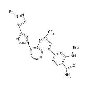 CCn1cc(-c2cn(-c3cccc4c(-c5ccc(C(N)=O)c(NC(C)(C)C)c5)cc(C(F)(F)F)nc34)cn2)cn1